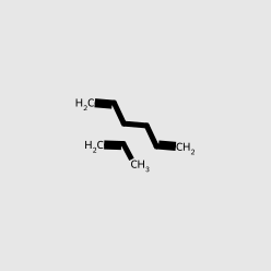 C=CC.C=CCCC=C